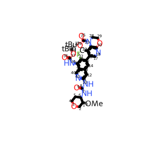 COC1COCCC1NC(=O)Nc1cc2cc(-c3cnc4c(c3C)N(C(=O)OC(C)(C)C)CCO4)c(F)c(NC(=O)OC(C)(C)C)c2cn1